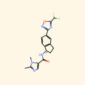 Cc1ncc(C(=O)N[C@@H]2CCc3cc(-c4noc(C(F)F)n4)ccc32)n1C